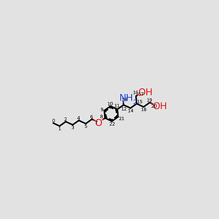 CCCCCCCOc1ccc(C(N)CC(CO)CCO)cc1